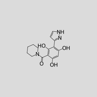 O=C(c1c(O)cc(O)c(-c2cc[nH]n2)c1O)N1CCCCC1